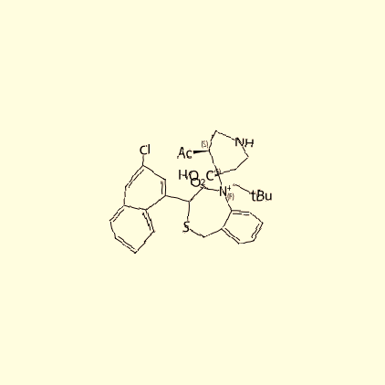 CC(=O)[C@H]1CNCC[C@]1(C(=O)O)[N@+]1(CC(C)(C)C)C(=O)C(c2cc(Cl)cc3ccccc23)SCc2ccccc21